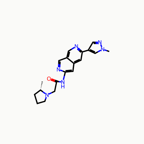 C[C@H]1CCCN1CC(=O)Nc1cc2cc(-c3cnn(C)c3)ncc2cn1